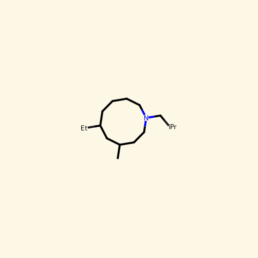 CCC1CCCCN(CC(C)C)CCC(C)C1